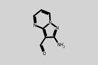 Nc1nn2cccnc2c1C=O